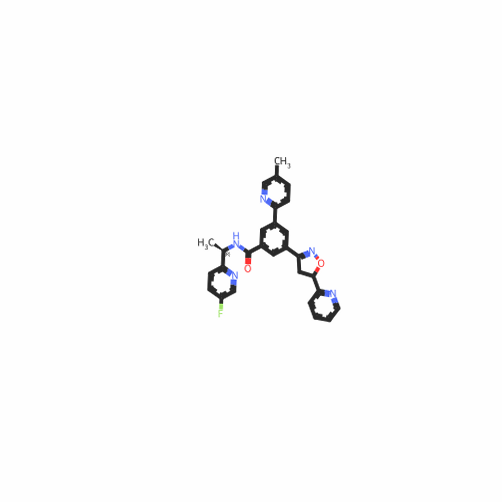 Cc1ccc(-c2cc(C(=O)N[C@H](C)c3ccc(F)cn3)cc(C3=NOC(c4ccccn4)C3)c2)nc1